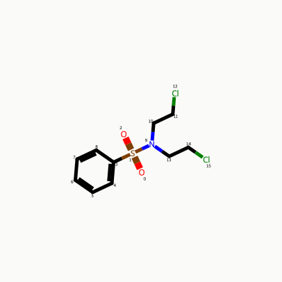 O=S(=O)(c1ccccc1)N(CCCl)CCCl